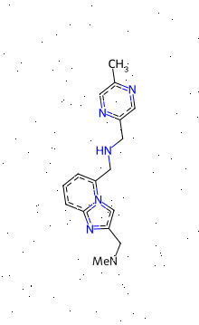 CNCc1cn2c(CNCc3cnc(C)cn3)cccc2n1